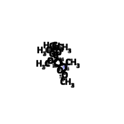 CCOC(=O)/C=C(/C)c1ccc(OC)c(B2OC(C)(C)C(C)(C)O2)c1